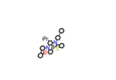 CC(C)c1cc2c3c(c1)N(c1cccc4c1oc1ccccc14)c1ccccc1B3c1sc3ccccc3c1N2c1ccc(-c2ccccc2)cc1